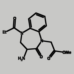 CCC(=O)N1CC(N)C(=O)N(CC(=O)OC)c2ccccc21